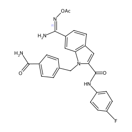 CC(=O)O/N=C(/N)c1ccc2cc(C(=O)Nc3ccc(F)cc3)n(Cc3ccc(C(N)=O)cc3)c2c1